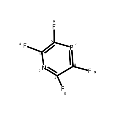 Fc1nc(F)c(F)pc1F